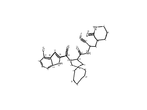 N#CC(CC1CCCNC1=O)NC(=O)C1CC2(CCCCC2)CN1C(=O)c1cc2c(Cl)cccc2[nH]1